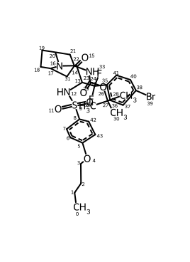 CCCCOc1ccc(S(=O)(=O)NC(C(=O)N2C3CCC2CC(NC(=O)OC(C)(C)C)C3)C(F)(F)c2ccc(Br)cc2)cc1